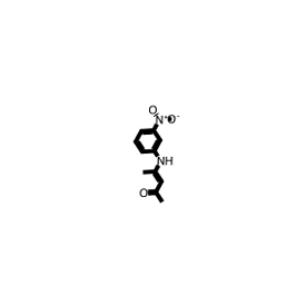 CC(=O)/C=C(\C)Nc1cccc([N+](=O)[O-])c1